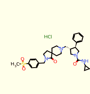 CS(=O)(=O)c1ccc(CN2CCC3(CCN(C[C@H]4CN(C(=O)NC5CC5)C[C@@H]4c4ccccc4)CC3)C2=O)cc1.Cl